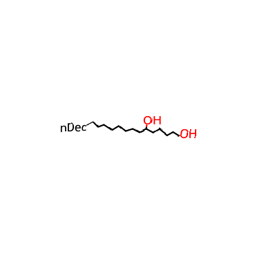 CCCCCCCCCCCCCCCCCCC(O)CCCCCO